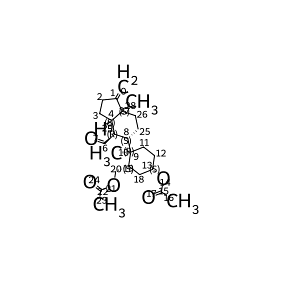 C=C1CC[C@H]2[C@H](C=O)[C@@H]([C@@]3(C)CC[C@H](OC(C)=O)C[C@@H]3COC(C)=O)CC[C@]12C